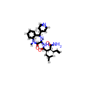 C=CC[C@H](C(N)=O)[C@@H](CC(C)C)C(=O)NC1N=C(c2ccncc2)c2ccccc2N(C)C1=O